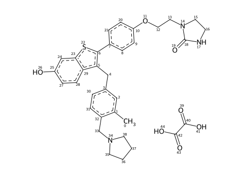 Cc1cc(Cc2c(-c3ccc(OCCN4CCNC4=O)cc3)sc3cc(O)ccc23)ccc1CN1CCCC1.O=C(O)C(=O)O